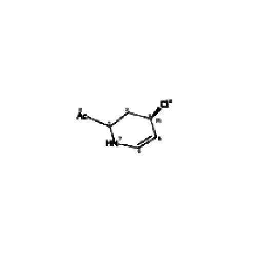 CC(=O)C1C[C@@H](Cl)C=CN1